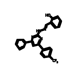 Oc1ccccc1C=NNc1nc(-c2ccccc2)cc(-c2ccc(C(F)(F)F)cc2)n1